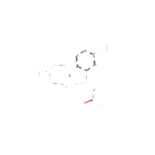 Cc1ccc2c(c1)C(CC(=O)O)CC21CCNCC1